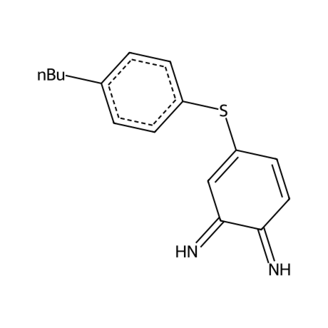 CCCCc1ccc(SC2=CC(=N)C(=N)C=C2)cc1